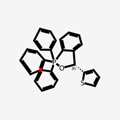 c1ccc(P2(c3ccccc3)(c3ccccc3)O[C@@H](c3cccs3)c3ccccc32)cc1